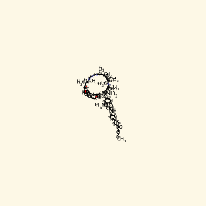 CCCOCCC(=O)N1CCN(c2ncc(CNC(=O)O[C@@H]3CC[C@@H](C[C@@H](N)[C@@H]4C[C@@H](O)[C@H](C)/C=C(\C)[C@@H](O)[C@@H](OC)C(=O)[C@H](C)C[C@H](C)/C=C/C=C/C=C(\C)[C@@H](OC)C[C@@H]5CC[C@@H](C)[C@@](O)(O5)C(=O)C(=O)N5CCCC[C@H]5C(=O)O4)C[C@H]3OC)cn2)CC1